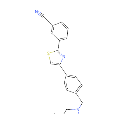 CCCN(C)Cc1ccc(-c2csc(-c3cccc(C#N)c3)n2)cc1